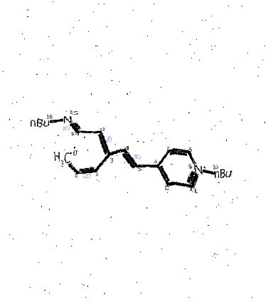 C\C=C/C(/C=C/c1cc[n+](CCCC)cc1)=C\C=N\CCCC